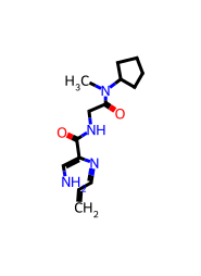 C=C/C=N\C(=C/N)C(=O)NCC(=O)N(C)C1CCCC1